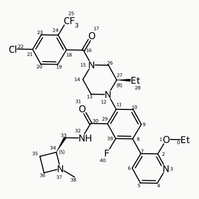 CCOc1ncccc1-c1ccc(N2CCN(C(=O)c3ccc(Cl)cc3C(F)(F)F)C[C@H]2CC)c(C(=O)NC[C@@H]2CCN2C)c1F